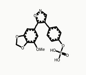 COc1cc(-c2oncc2-c2ccc(OP(=O)(O)O)cc2)cc2c1OCO2